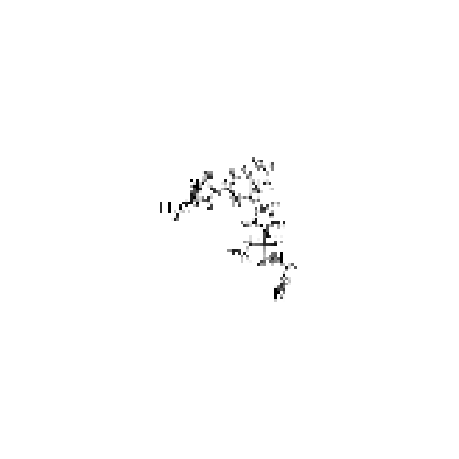 Cn1cc(-c2cc3nccn3c(-c3ccn(C4(CCF)CN(CC#N)C4)c3)n2)cn1